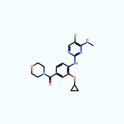 CNc1nc(Nc2ccc(C(=O)N3CCOCC3)cc2OC2CC2)ncc1Cl